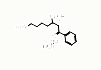 CCCCCCCCCCCCCCC(CC(=O)c1ccccc1)C(=O)O.Cl.N